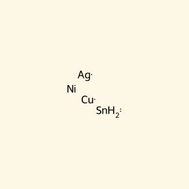 [Ag].[Cu].[Ni].[SnH2]